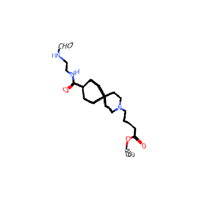 CC(C)(C)OC(=O)CCCN1CCC2(CCC(C(=O)NCCNC=O)CC2)CC1